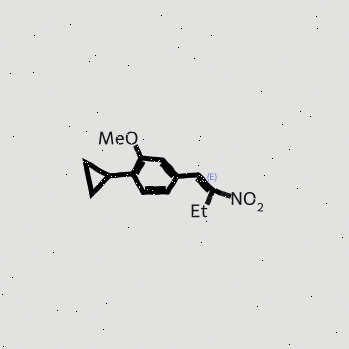 CC/C(=C\c1ccc(C2CC2)c(OC)c1)[N+](=O)[O-]